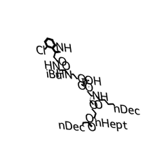 CCCCCCCCCCCCCC(=O)N[C@H](COCC[C@@H](CCCCCCC)OC(=O)CCCCCCCCCCC)COP(=O)(O)OCCNC(=O)[C@@H](NC(=O)Cc1c[nH]c2cccc(Cl)c12)[C@@H](C)CC